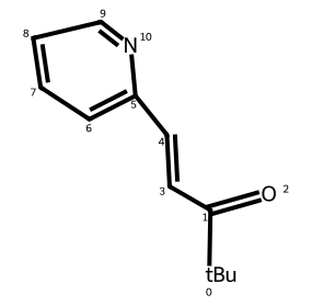 CC(C)(C)C(=O)C=Cc1ccccn1